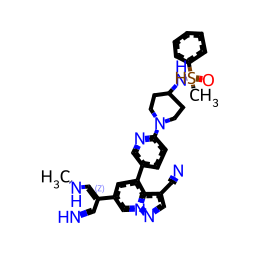 CN/C=C(\C=N)c1cc(-c2ccc(N3CCC(N[SH](C)(=O)c4ccccc4)CC3)nc2)c2c(C#N)cnn2c1